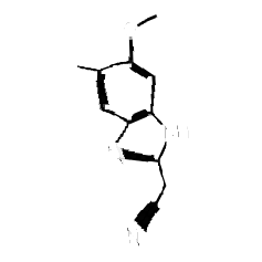 COc1cc2[nH]c(CC#N)nc2cc1F